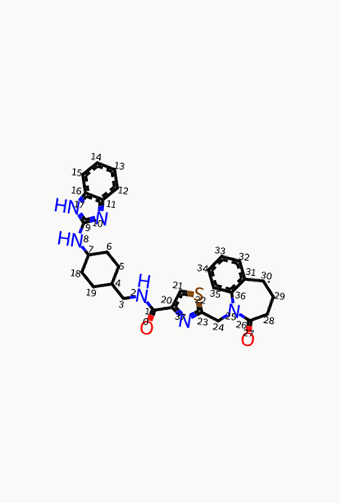 O=C(NCC1CCC(Nc2nc3ccccc3[nH]2)CC1)c1csc(CN2C(=O)CC[CH]c3ccccc32)n1